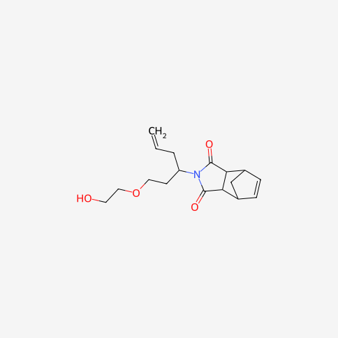 C=CCC(CCOCCO)N1C(=O)C2C3C=CC(C3)C2C1=O